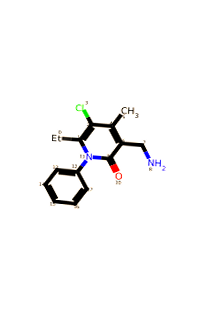 CCc1c(Cl)c(C)c(CN)c(=O)n1-c1ccccc1